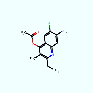 CCc1nc2cc(C)c(F)cc2c(OC(C)=O)c1C